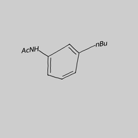 CCCCc1cccc(NC(C)=O)c1